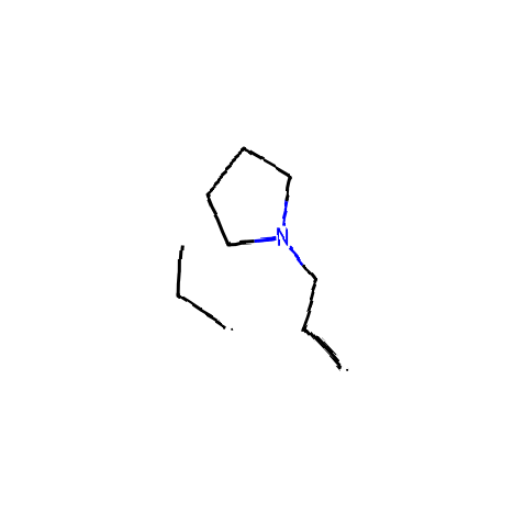 [CH2]CC.[CH2]CCN1CCCC1